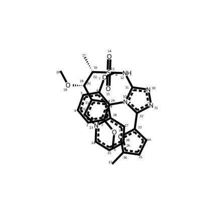 COc1cccc(OC)c1-n1c(NS(=O)(=O)[C@@H](C)[C@@H](OC)c2cn3ccccc3n2)nnc1-c1ccc(C)o1